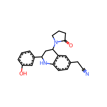 N#CCc1ccc2c(c1)C(N1CCCC1=O)CC(c1cccc(O)c1)N2